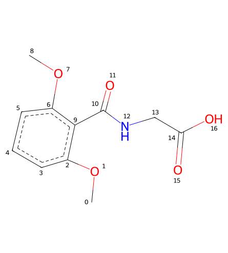 COc1cccc(OC)c1C(=O)NCC(=O)O